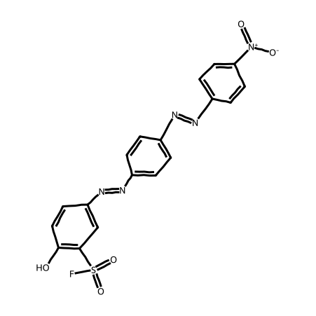 O=[N+]([O-])c1ccc(N=Nc2ccc(N=Nc3ccc(O)c(S(=O)(=O)F)c3)cc2)cc1